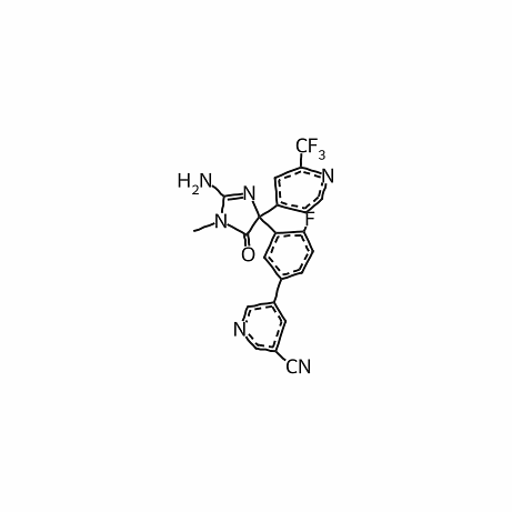 CN1C(=O)C(c2ccnc(C(F)(F)F)c2)(c2cc(-c3cncc(C#N)c3)ccc2F)N=C1N